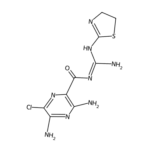 N/C(=N/C(=O)c1nc(Cl)c(N)nc1N)NC1=NCCS1